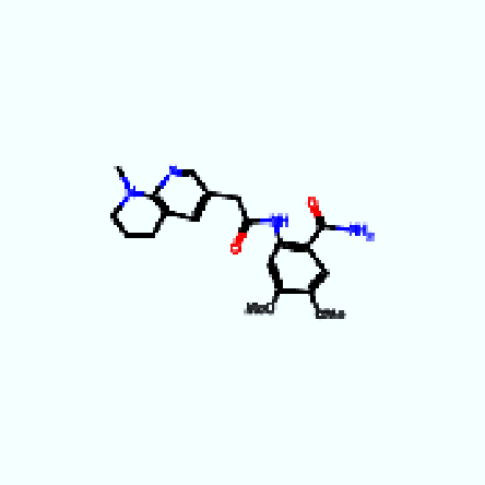 COc1cc(NC(=O)Cc2cnc3c(c2)CCCN3C)c(C(N)=O)cc1OC